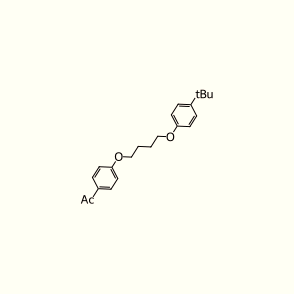 CC(=O)c1ccc(OCCCCOc2ccc(C(C)(C)C)cc2)cc1